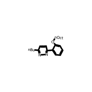 CCCCCCCCOc1ccccc1-c1ccc(CCCC)nn1